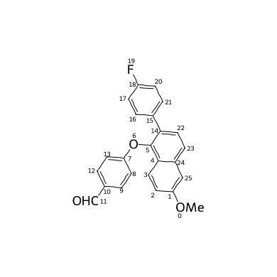 COc1ccc2c(Oc3ccc(C=O)cc3)c(-c3ccc(F)cc3)ccc2c1